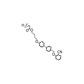 C=CC(=O)OCCCCOc1ccc(-c2ccc(COc3ccccc3C#N)cc2)cc1